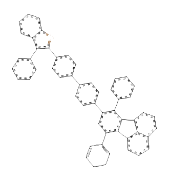 C1=CC(c2cc(-c3ccc(-c4ccc(-c5sc6ccccc6c5-c5ccccc5)cc4)cc3)c(-c3ccccc3)c3c2-c2cccc4cccc-3c24)=CCC1